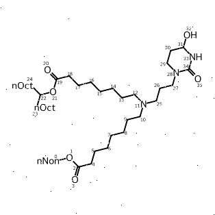 CCCCCCCCCOC(=O)CCCCCCCN(CCCCCCCC(=O)OC(CCCCCCCC)CCCCCCCC)CCCN1CCC(O)NC1=O